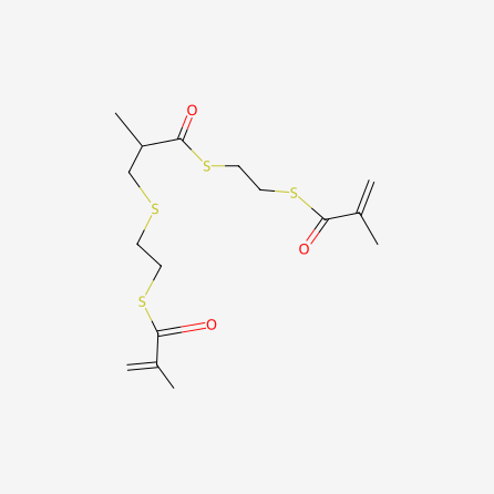 C=C(C)C(=O)SCCSCC(C)C(=O)SCCSC(=O)C(=C)C